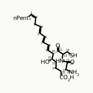 CCCCC/C=C\CC=CC=C/C=C/[C@H](C(=O)C(CS)NC(=O)CN)[C@H](O)CCCC(=O)O